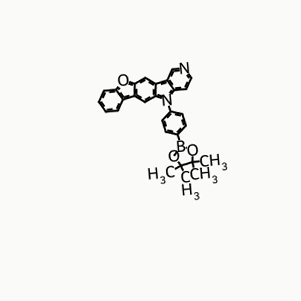 CC1(C)OB(c2ccc(-n3c4ccncc4c4cc5oc6ccccc6c5cc43)cc2)OC1(C)C